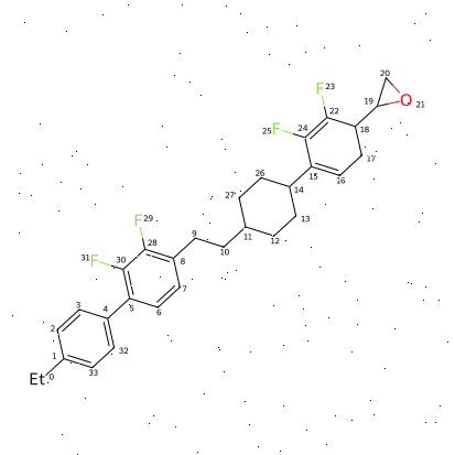 CCc1ccc(-c2ccc(CCC3CCC(C4=CCC(C5CO5)C(F)=C4F)CC3)c(F)c2F)cc1